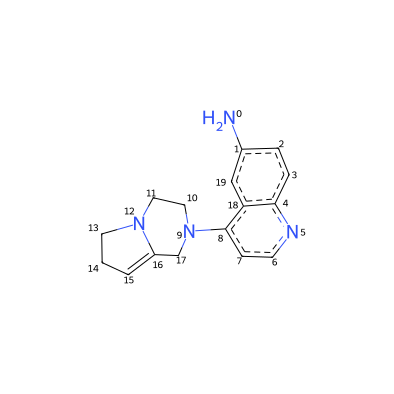 Nc1ccc2nccc(N3CCN4CCC=C4C3)c2c1